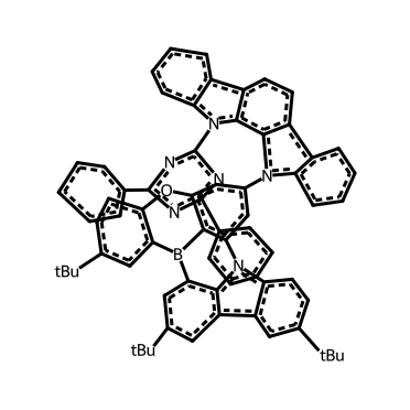 CC(C)(C)c1ccc2c(c1)B1c3c(cc(-n4c5ccccc5c5ccc6c7ccccc7n(-c7nc(-c8ccccc8)nc(-c8ccccc8)n7)c6c54)cc3-n3c4ccc(C(C)(C)C)cc4c4cc(C(C)(C)C)cc1c43)O2